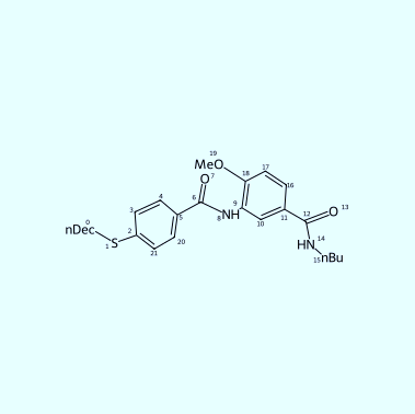 CCCCCCCCCCSc1ccc(C(=O)Nc2cc(C(=O)NCCCC)ccc2OC)cc1